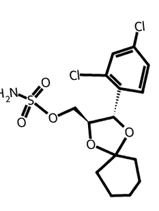 NS(=O)(=O)OC[C@@H]1OC2(CCCCC2)O[C@H]1c1ccc(Cl)cc1Cl